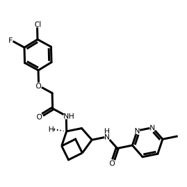 Cc1ccc(C(=O)NC2C[C@H](NC(=O)COc3ccc(Cl)c(F)c3)C3CC2C3)nn1